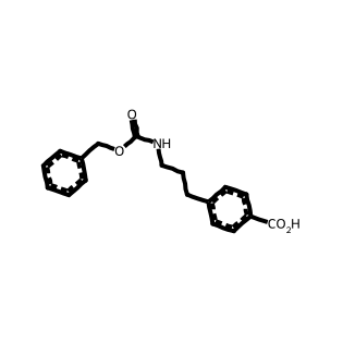 O=C(NCCCc1ccc(C(=O)O)cc1)OCc1ccccc1